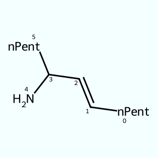 CCCCCC=CC(N)CCCCC